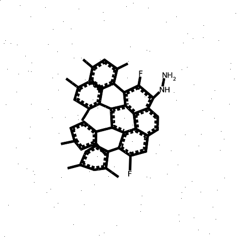 Cc1ccc(-c2c(F)cc3ccc4c(NN)c(F)c(-c5ccc(C)cc5C)c5c(-c6ccc(C)cc6C)c(-c6ccc(C)cc6C)c2c3c45)c(C)c1